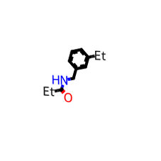 CCC(=O)NCc1cccc(CC)c1